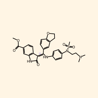 COC(=O)c1ccc2c(c1)NC(=O)/C2=C(\Nc1ccc(N(CCN(C)C)S(C)(=O)=O)cc1)c1ccc2c(c1)CCO2